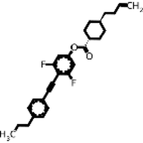 C=CCC[C@H]1CC[C@H](C(=O)Oc2cc(F)c(C#Cc3ccc(CCC)cc3)c(F)c2)CC1